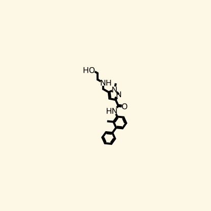 Cc1c(NC(=O)c2cc(CNCCO)n(C)n2)cccc1-c1ccccc1